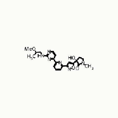 CO[C@H](C)CNc1nccc(-c2cccc(-c3cc([C@]4(O)CCN(C)C4=O)on3)n2)n1